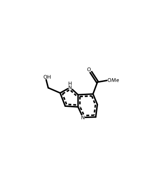 COC(=O)c1ccnc2cc(CO)[nH]c12